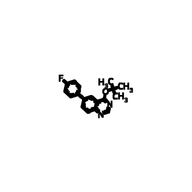 CC(C)(C)Oc1ncnc2ccc(-c3ccc(F)cc3)cc12